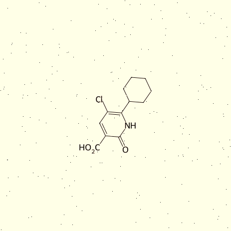 O=C(O)c1cc(Cl)c(C2CCCCC2)[nH]c1=O